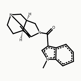 Cn1cc(C(=O)N2C[C@@H]3CN4C=C2[C@H]3CC4)c2ccccc21